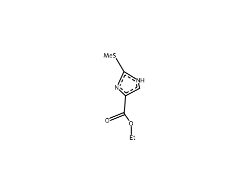 CCOC(=O)c1c[nH]c(SC)n1